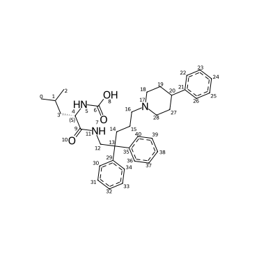 CC(C)C[C@H](NC(=O)O)C(=O)NCC(CCCN1CCC(c2ccccc2)CC1)(c1ccccc1)c1ccccc1